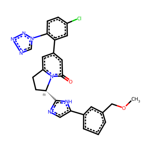 COCc1cccc(-c2cnc([C@@H]3CCc4cc(-c5cc(Cl)ccc5-n5cnnn5)cc(=O)n43)[nH]2)c1